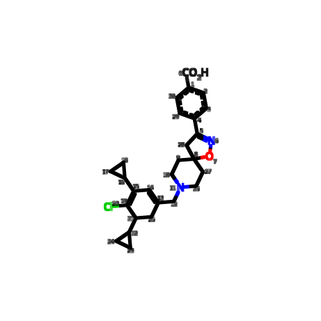 O=C(O)c1ccc(C2=NOC3(CCN(CC4=CC(C5CC5)=C(Cl)C(C5CC5)C4)CC3)C2)cc1